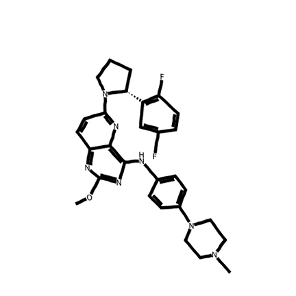 COc1nc(Nc2ccc(N3CCN(C)CC3)cc2)c2nc(N3CCC[C@@H]3c3cc(F)ccc3F)ccc2n1